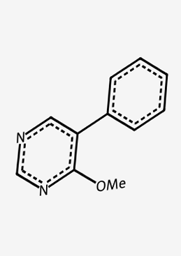 COc1ncncc1-c1ccccc1